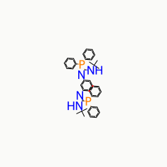 CC(C)(C)N/C(=N/c1cccc(/N=C(\NC(C)(C)C)P(c2ccccc2)c2ccccc2)c1)P(c1ccccc1)c1ccccc1